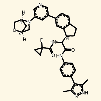 Cc1n[nH]c(C)c1-c1ccc(NC(=O)C(NC(=O)C2(F)CC2)[C@@H]2CCc3ccc(-c4cncc(N5C[C@@H]6C[C@H]5CO6)c4)cc32)cc1